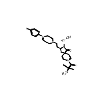 CC(C)(N)C(=O)N1CCC2(CC1)CC(CCN1CCN(c3ccc(F)cc3)CC1)NC2=O.Cl.Cl